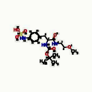 COCCNC(=O)C(Cc1ccc(NS(=O)(=O)O)cc1)NC(=O)OC(C)(C)C